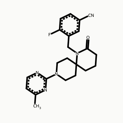 Cc1ccnc(N2CCC3(CCCC(=O)N3Cc3cc(C#N)ccc3F)CC2)n1